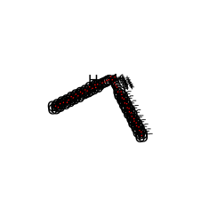 Cc1ccccc1.O=P([O-])([O-])[O-].O=P([O-])([O-])[O-].O=P([O-])([O-])[O-].O=P([O-])([O-])[O-].O=P([O-])([O-])[O-].O=P([O-])([O-])[O-].O=P([O-])([O-])[O-].O=P([O-])([O-])[O-].O=P([O-])([O-])[O-].O=P([O-])([O-])[O-].O=P([O-])([O-])[O-].O=P([O-])([O-])[O-].O=P([O-])([O-])[O-].O=P([O-])([O-])[O-].O=P([O-])([O-])[O-].O=P([O-])([O-])[O-].O=P([O-])([O-])[O-].O=P([O-])([O-])[O-].O=P([O-])([O-])[O-].O=P([O-])([O-])[O-].[C+4].[C+4].[C+4].[C+4].[C+4].[C+4].[C+4].[C+4].[C+4].[C+4].[C+4].[C+4].[C+4].[C+4].[C+4]